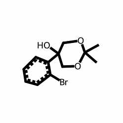 CC1(C)OCC(O)(c2ccccc2Br)CO1